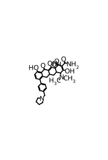 CN(C)C1C(O)=C(C(N)=O)C(=O)C2(O)C(O)=C3C(=O)c4c(O)ccc(-c5ccc(CN6CCCC6)cc5)c4CC3CC12